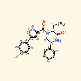 CC(C)(C)C[C@H]1C(=O)N[C@@H](c2ccccc2)CN1C(=O)c1cc(-c2ccc(F)cc2)on1